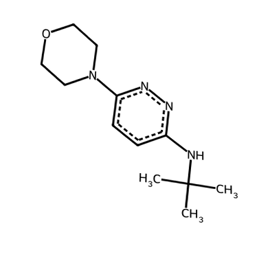 CC(C)(C)Nc1ccc(N2CCOCC2)nn1